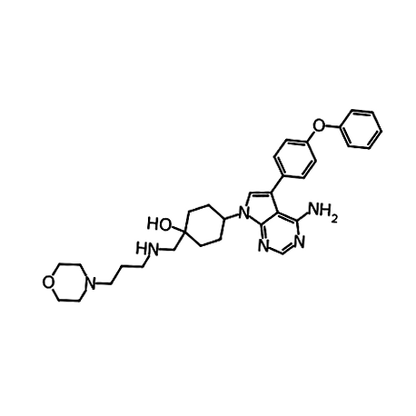 Nc1ncnc2c1c(-c1ccc(Oc3ccccc3)cc1)cn2C1CCC(O)(CNCCCN2CCOCC2)CC1